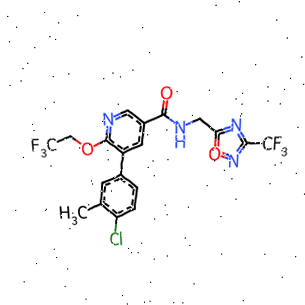 Cc1cc(-c2cc(C(=O)NCc3nc(C(F)(F)F)no3)cnc2OCC(F)(F)F)ccc1Cl